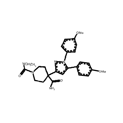 COc1ccc(-c2cc(C3(C(N)=O)CCN(C(=O)N(C)O)CC3)nn2-c2ccc(OC)cc2)cc1